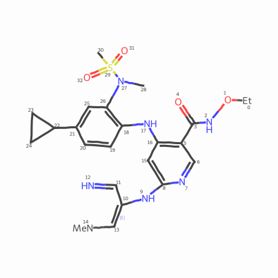 CCONC(=O)c1cnc(N/C(C=N)=C/NC)cc1Nc1ccc(C2CC2)cc1N(C)S(C)(=O)=O